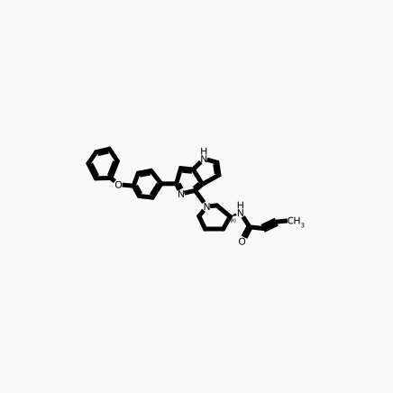 CC#CC(=O)N[C@@H]1CCCN(c2nc(-c3ccc(Oc4ccccc4)cc3)cc3[nH]ccc23)C1